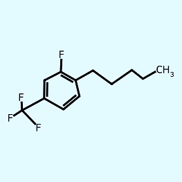 CCCCCc1ccc(C(F)(F)F)cc1F